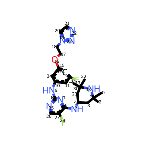 CC1(C)CC(Nc2nc(Nc3cc(F)cc(OCCn4ccnn4)c3)ncc2F)CC(C)(C)N1